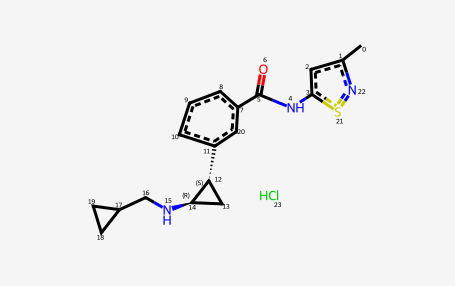 Cc1cc(NC(=O)c2cccc([C@@H]3C[C@H]3NCC3CC3)c2)sn1.Cl